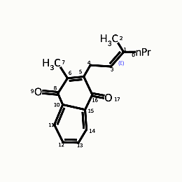 CCC/C(C)=C/CC1=C(C)C(=O)c2ccccc2C1=O